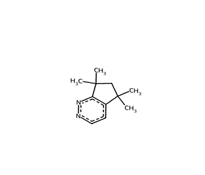 CC1(C)CC(C)(C)c2nnccc21